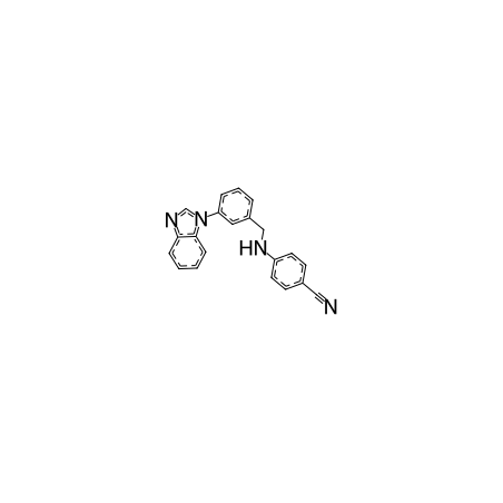 N#Cc1ccc(NCc2cccc(-n3cnc4ccccc43)c2)cc1